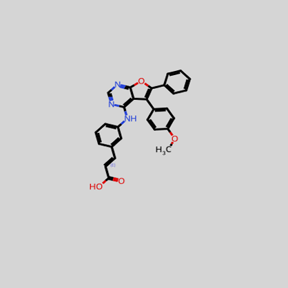 COc1ccc(-c2c(-c3ccccc3)oc3ncnc(Nc4cccc(/C=C/C(=O)O)c4)c23)cc1